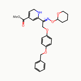 COC(=O)C1=CCNC(/C(COc2ccc(OCc3ccccc3)cc2)=N/OC2CCCCO2)=C1